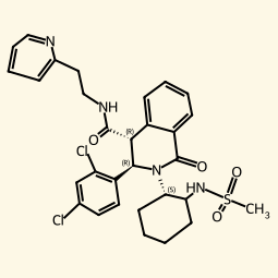 CS(=O)(=O)NC1CCCC[C@@H]1N1C(=O)c2ccccc2[C@@H](C(=O)NCCc2ccccn2)[C@@H]1c1ccc(Cl)cc1Cl